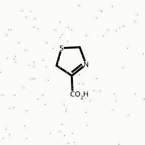 O=C(O)C1=NCSC1